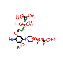 CC(C)OC1=CC(=[N+]=[N-])C(OC(C)C)C=C1N1CCOCC1.OB(O)F.OB(O)F.OB(O)F.OB(O)F